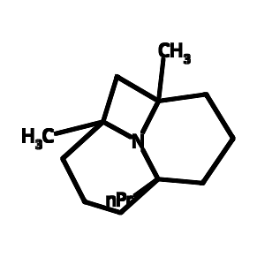 CCCC12CCCC3(C)CC(C)(CCC1)N32